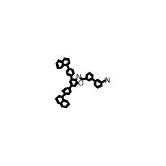 N#Cc1cccc(-c2cccc(-c3nc4c(-c5ccc(-c6cccc7ccccc67)cc5)cc(-c5ccc(-c6cccc7ccccc67)cc5)cc4o3)c2)c1